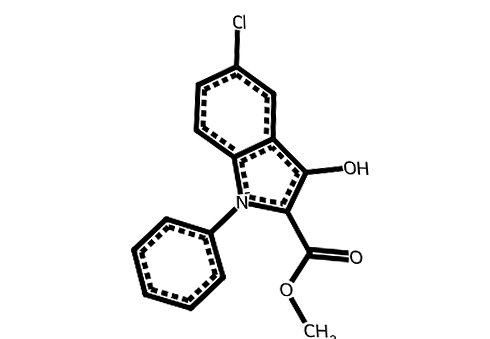 COC(=O)c1c(O)c2cc(Cl)ccc2n1-c1ccccc1